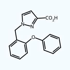 O=C(O)c1ccn(Cc2ccccc2Oc2ccccc2)n1